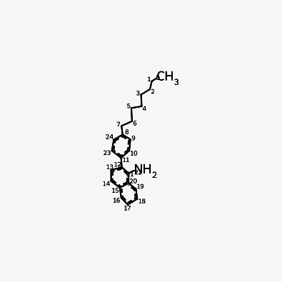 CCCCCCCCc1ccc(-c2ccc3ccccc3c2N)cc1